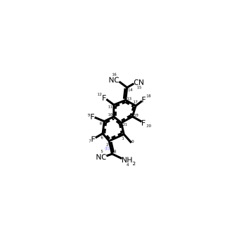 Cc1/c(=C(\N)C#N)c(F)c(F)c2c(F)c(=C(C#N)C#N)c(F)c(F)c12